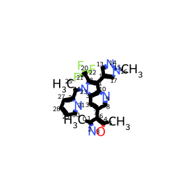 Cc1noc(C)c1-c1cnc2c(-c3cnn(C)c3)c(C(F)(F)F)n(C(C)c3ccccn3)c2c1